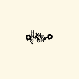 CCOc1ccccc1N/N=C1/C(=O)N(c2nc(-c3ccccc3)c[nH]2)N=C1C